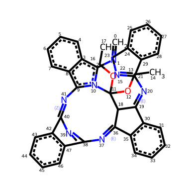 C=Nc1c2ccccc2c2n1C(OCC)(OCC)C1/C(=N\C3=NCc4ccccc43)c3ccccc3/C1=N/C1=NC(=N\2)/c2ccccc21